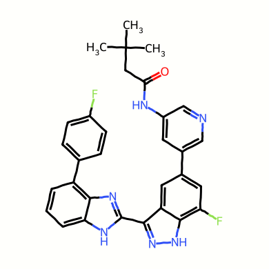 CC(C)(C)CC(=O)Nc1cncc(-c2cc(F)c3[nH]nc(-c4nc5c(-c6ccc(F)cc6)cccc5[nH]4)c3c2)c1